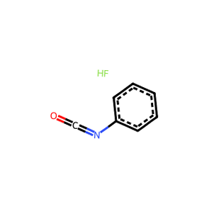 F.O=C=Nc1ccccc1